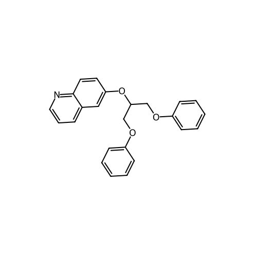 c1ccc(OCC(COc2ccccc2)Oc2ccc3ncccc3c2)cc1